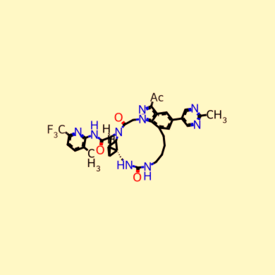 CC(=O)c1nn2c3c(cc(-c4cnc(C)nc4)cc13)CCCCNC(=O)NC[C@]13C4C1[C@H]3N(C(=O)C2)[C@@H]4C(=O)Nc1nc(C(F)(F)F)ccc1C